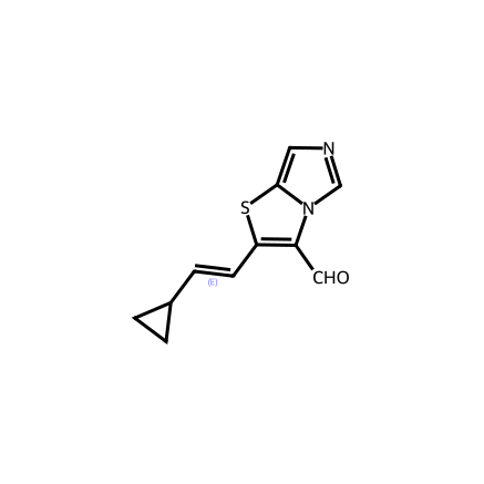 O=Cc1c(/C=C/C2CC2)sc2cncn12